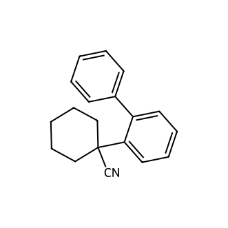 N#CC1(c2ccccc2-c2ccccc2)CCCCC1